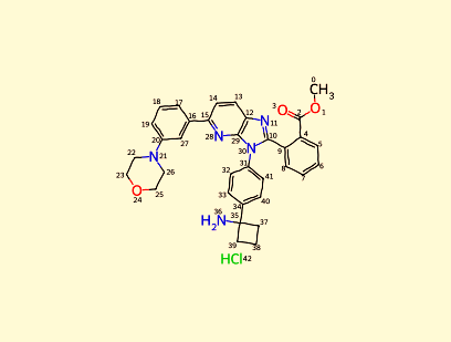 COC(=O)c1ccccc1-c1nc2ccc(-c3cccc(N4CCOCC4)c3)nc2n1-c1ccc(C2(N)CCC2)cc1.Cl